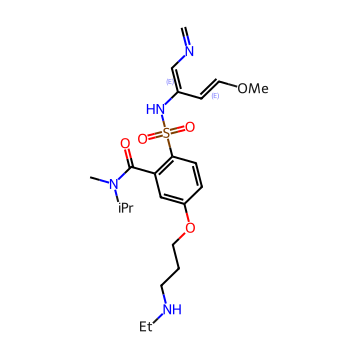 C=N/C=C(\C=C\OC)NS(=O)(=O)c1ccc(OCCCNCC)cc1C(=O)N(C)C(C)C